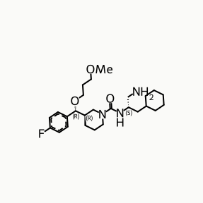 COCCCO[C@@H](c1ccc(F)cc1)[C@@H]1CCCN(C(=O)N[C@H](CN)CC2CCCCC2)C1